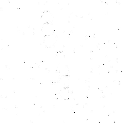 CCN(CC)c1ccc2c(C)c(CCOC(=O)N3CCC(Cc4cccnc4)CC3)c(=O)oc2c1